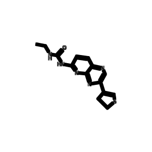 CCNC(=O)Nc1ccc2ncc(C3=CSCC3)nc2n1